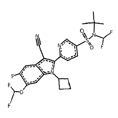 CC(C)(C)N(C(F)F)S(=O)(=O)c1ccc(-c2c(C#N)c3cc(F)c(OC(F)F)cc3n2C2CCC2)nc1